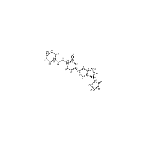 O=c1cc(-c2ccc3c(c2)ncn3-c2ccsc2)ccn1CCN1CCOCC1